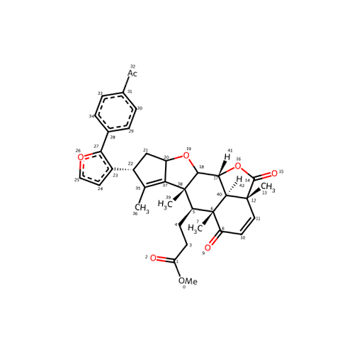 COC(=O)CC[C@@H]1[C@@]2(C)C(=O)C=C[C@@]3(C)C(=O)O[C@@H](C4OC5C[C@@H](c6ccoc6-c6ccc(C(C)=O)cc6)C(C)=C5[C@]41C)[C@H]23